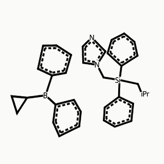 CC(C)C[Si](Cn1ccnc1)(c1ccccc1)c1ccccc1.c1ccc(B(c2ccccc2)C2CC2)cc1